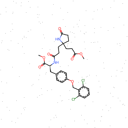 COC(=O)CCC1(CCC(=O)N[C@@H](Cc2ccc(OCc3c(Cl)cccc3Cl)cc2)C(=O)OC)CCC(=O)N1